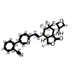 C[C@H]1OC(=O)[C@]2(NC3COC3)CC(F)(F)[C@@H](C)[C@H](/C=C/c3ccc(-c4ccccc4C#N)cn3)[C@H]12